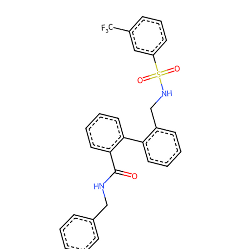 O=C(NCc1ccccc1)c1ccccc1-c1ccccc1CNS(=O)(=O)c1cccc(C(F)(F)F)c1